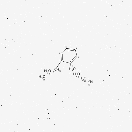 Cc1ccccc1.O.O.O.O.O.[Sb]